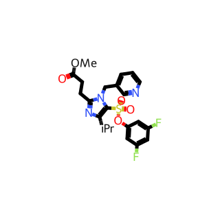 COC(=O)CCc1nc(C(C)C)c(S(=O)(=O)Oc2cc(F)cc(F)c2)n1Cc1cccnc1